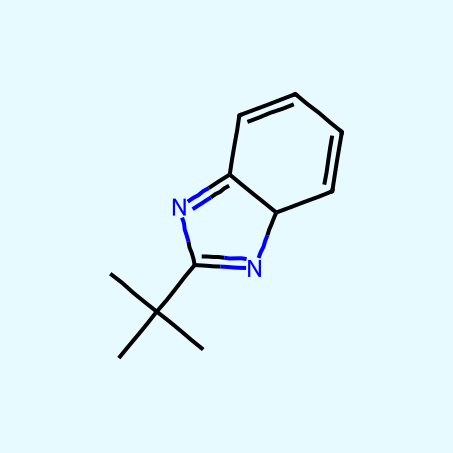 CC(C)(C)C1=NC2C=CC=CC2=N1